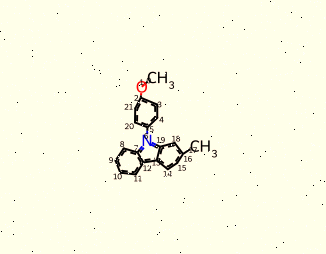 COc1ccc(-n2c3ccccc3c3ccc(C)cc32)cc1